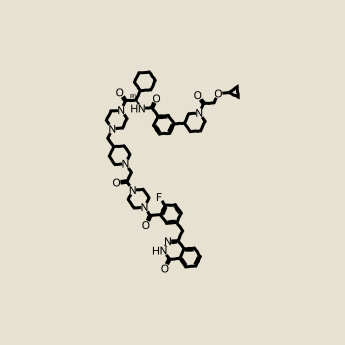 O=C(N[C@@H](C(=O)N1CCN(CC2CCN(CC(=O)N3CCN(C(=O)c4cc(Cc5n[nH]c(=O)c6ccccc56)ccc4F)CC3)CC2)CC1)C1CCCCC1)c1cccc(C2CCCN(C(=O)COC3CC3)C2)c1